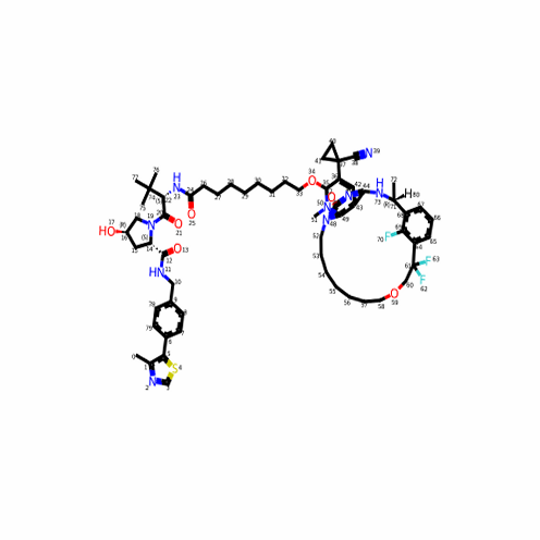 Cc1ncsc1-c1ccc(CNC(=O)[C@@H]2C[C@@H](O)CN2C(=O)[C@@H](NC(=O)CCCCCCCCOC2C(C3(C#N)CC3)=Cc3c4nc(=O)n(c3N2C)CCCCCCCOCC(F)(F)c2cccc(c2F)[C@@H](C)N4)C(C)(C)C)cc1